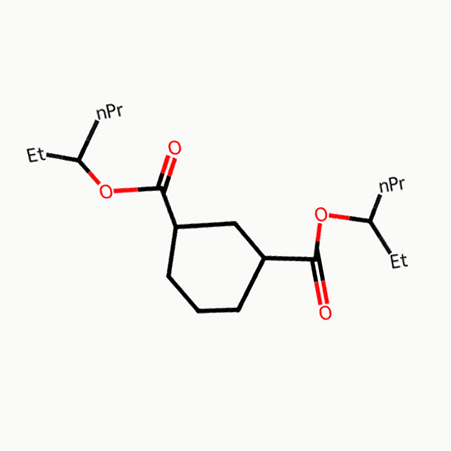 CCCC(CC)OC(=O)C1CCCC(C(=O)OC(CC)CCC)C1